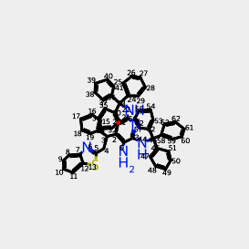 Nc1c(C(Cc2nc3ccccc3s2)c2ccccc2)cc(NC(c2ccccc2)(c2ccccc2)c2ccccc2)nc1NC(c1ccccc1)(c1ccccc1)c1ccccc1